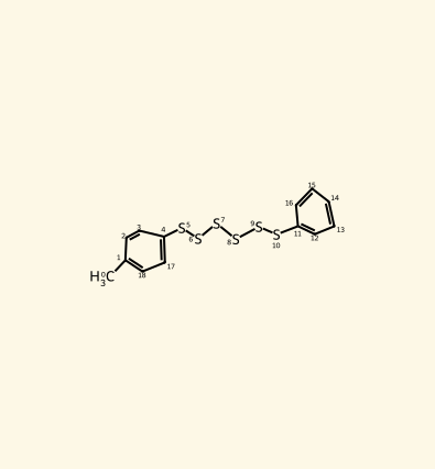 Cc1ccc(SSSSSSc2ccccc2)cc1